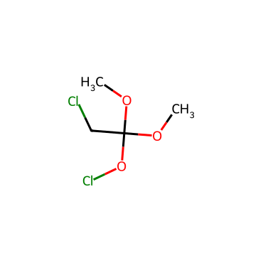 COC(CCl)(OC)OCl